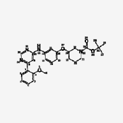 COc1ccccc1-c1cc(Nc2cccc(OC3CCCN(C(=O)OC(C)(C)C)C3)c2)ncn1